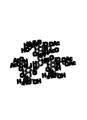 CC(=O)OCC(OC(C)=O)C(=O)Nc1c(I)c(C(=O)NCC2CC(CNC(=O)c3c(I)c(NC(=O)C(COC(C)=O)OC(C)=O)c(I)c(C(=O)N(C)CC(O)CO)c3I)CC(CNC(=O)c3c(I)c(NC(=O)C(COC(C)=O)OC(C)=O)c(I)c(C(=O)N(C)CC(O)CO)c3I)C2)c(I)c(C(=O)N(C)CC(O)CO)c1I